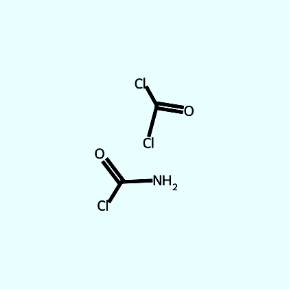 NC(=O)Cl.O=C(Cl)Cl